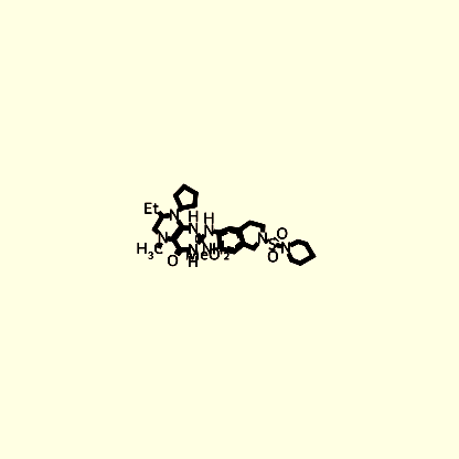 CCC1CN(C)C2=C(N[C@@](N)(Nc3cc4c(cc3OC)CN(S(=O)(=O)N3CCCCC3)CC4)NC2=O)N1C1CCCC1